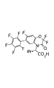 CC(C)[C@H](C(=O)O)N1C(=O)C(F)(F)Oc2cc(F)c(-c3c(F)c(F)c(F)c(F)c3F)cc21